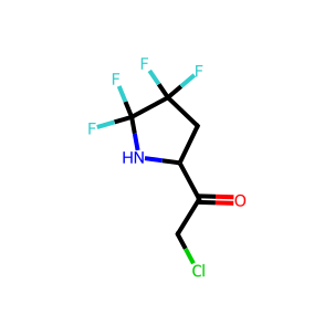 O=C(CCl)C1CC(F)(F)C(F)(F)N1